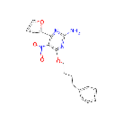 Nc1nc(OCCCCc2ccccc2)c([N+](=O)[O-])c(-c2ccco2)n1